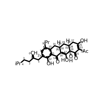 C=C(CCC(C)C)Cc1cc(C(C)C)c2c(c1O)C(=O)C1=C(O)[C@]3(O)C(=O)C(C(C)=O)=C(O)C[C@@H]3C[C@@H]1C2